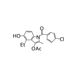 CCc1c(O)ccc2c1c(OC(C)=O)c(C)n2C(=O)c1ccc(Cl)cc1